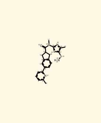 Cc1cccc(-c2ccc3c(c2)CC(C(=O)N(C)c2nc(C)c(SN)s2)C3)n1